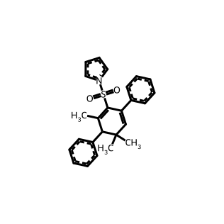 CC1=C(S(=O)(=O)n2cccc2)C(c2ccccc2)=CC(C)(C)C1c1ccccc1